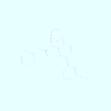 COc1cncc(-c2ccc3c(n2)N(C(=O)Nc2ccccn2)[C@H]2CCN3C2)c1